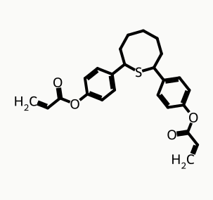 C=CC(=O)Oc1ccc(C2CCCCCC(c3ccc(OC(=O)C=C)cc3)S2)cc1